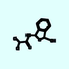 O=C(NC1OC(O)c2ccccc21)C(Cl)Cl